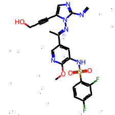 C=Nc1ncc(C#CCO)n1/N=C(\C)c1cnc(OC)c(NS(=O)(=O)c2ccc(F)cc2F)c1